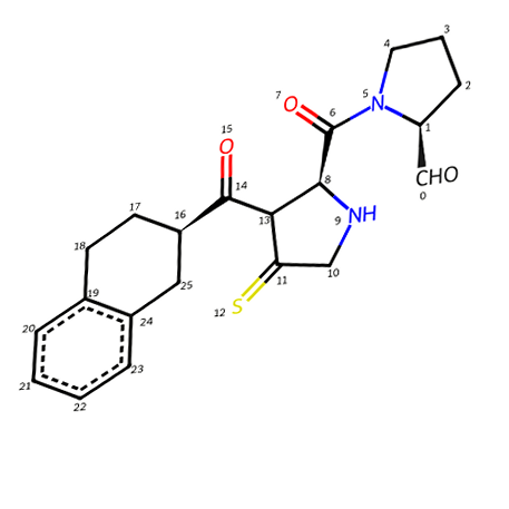 O=C[C@@H]1CCCN1C(=O)[C@H]1NCC(=S)C1C(=O)[C@@H]1CCc2ccccc2C1